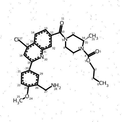 CCCOC(=O)N1CCN(C(=O)c2ccc3c(Cl)cc(-c4ccc(OC)c(CN)c4)nc3c2)C[C@@H]1C